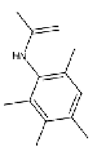 C=C(C)Nc1c(C)cc(C)c(C)c1C